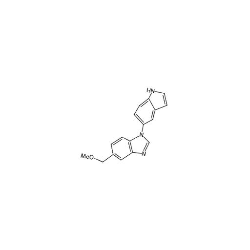 COCc1ccc2c(c1)ncn2-c1ccc2[nH]ccc2c1